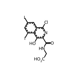 O=C(O)CNC(=O)c1nc(Cl)c2cc(I)cc(I)c2c1O